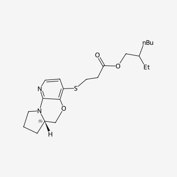 CCCCC(CC)COC(=O)CCSc1ccnc2c1OC[C@@H]1CCCN21